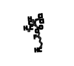 C#CCCC=C(F)COC(=O)C1C(C=C(Cl)Cl)C1(C)C